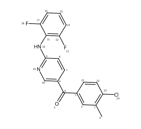 Cc1cc(C(=O)c2ccc(Nc3c(F)cccc3F)nc2)ccc1Cl